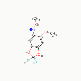 CONc1cc2c(cc1OC)OC(F)(F)O2